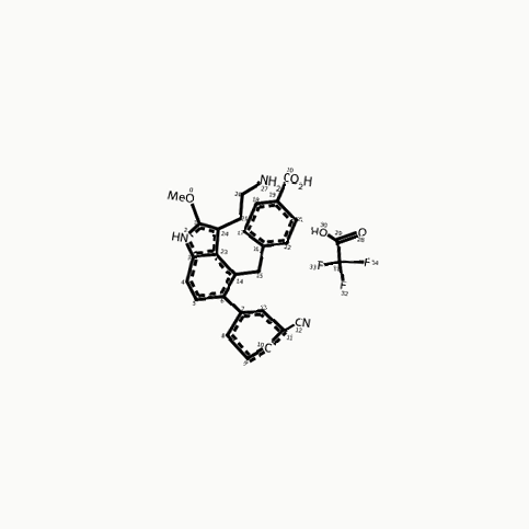 COc1[nH]c2ccc(-c3cccc(C#N)c3)c(Cc3ccc(C(=O)O)cc3)c2c1CCN.O=C(O)C(F)(F)F